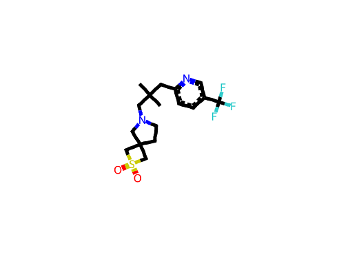 CC(C)(Cc1ccc(C(F)(F)F)cn1)CN1CCC2(C1)CS(=O)(=O)C2